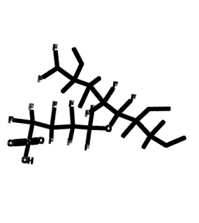 CCC(C)(C)C(C)(CC)C(F)(OC(F)(F)C(F)(F)C(F)(F)C(F)(F)S(=O)(=O)O)C(F)(F)C(C)(C)C(C)(CC)C(F)F